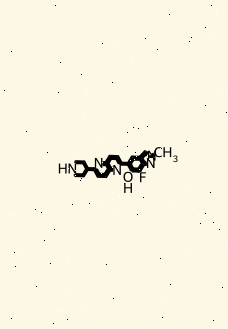 Cn1cc2cc(-c3ccc4nc(C5CCNCC5)ccc4n3)c(O)c(F)c2n1